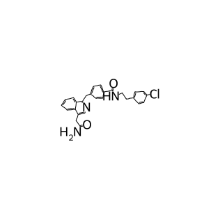 NC(=O)Cc1cnc(Cc2ccc(C(=O)NCCc3ccc(Cl)cc3)cc2)c2ccccc12